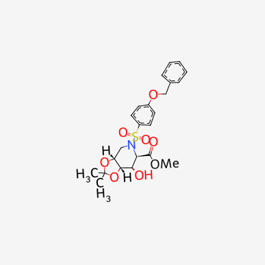 COC(=O)[C@H]1[C@@H](O)[C@@H]2OC(C)(C)O[C@@H]2CN1S(=O)(=O)c1ccc(OCc2ccccc2)cc1